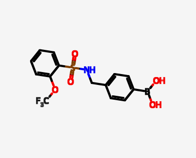 O=S(=O)(NCc1ccc(B(O)O)cc1)c1ccccc1OC(F)(F)F